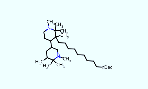 CCCCCCCCCCCCCCCCCCCC1(C)C(C2CC(C)C(C)(C)N(C)C2)CCN(C)C1(C)C